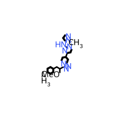 COCC(Cc1ccc(C)cc1)c1nnc2cc(-c3ccnc(Nc4ccnn4C)n3)ccn12